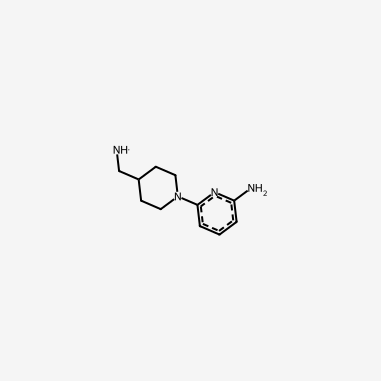 [NH]CC1CCN(c2cccc(N)n2)CC1